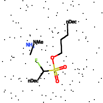 CCCCCCCCCCCCCOS(=O)(=O)C(F)CCCCCCCCCC.CNC.N